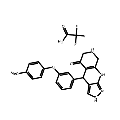 COc1ccc(Oc2cccc(C3C4=C(CNCC4=O)Nc4n[nH]cc43)c2)cc1.O=C(O)C(F)(F)F